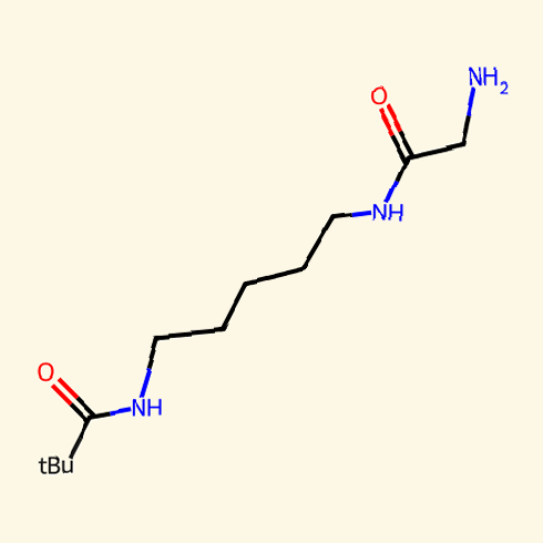 CC(C)(C)C(=O)NCCCCCNC(=O)CN